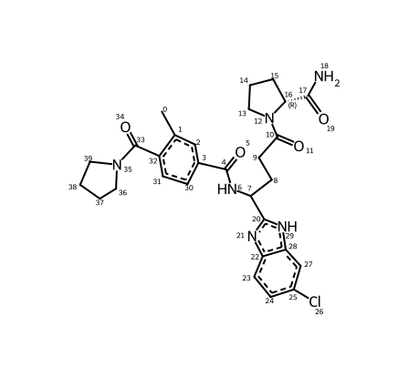 Cc1cc(C(=O)NC(CCC(=O)N2CCC[C@@H]2C(N)=O)c2nc3ccc(Cl)cc3[nH]2)ccc1C(=O)N1CCCC1